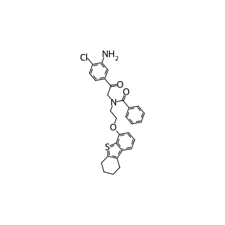 Nc1cc(C(=O)CN(CCOc2cccc3c4c(sc23)CCCC4)C(=O)c2ccccc2)ccc1Cl